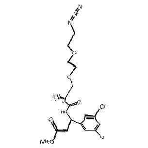 COC(=O)CC(NC(=O)[C@@H](N)COCCOCCN=[N+]=[N-])c1cc(Cl)cc(Cl)c1